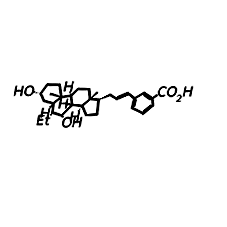 CC[C@H]1[C@@H](O)[C@@H]2[C@H](CC[C@]3(C)[C@@H](C/C=C/c4cccc(C(=O)O)c4)CC[C@@H]23)[C@@]2(C)CC[C@@H](O)C[C@@H]12